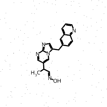 CC(C=NO)c1cnc2ncc(Cc3ccc4ncccc4c3)n2c1